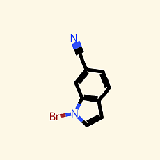 N#Cc1ccc2ccn(Br)c2c1